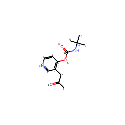 CC(=O)Cc1cnccc1OC(=O)NC(C)(C)C